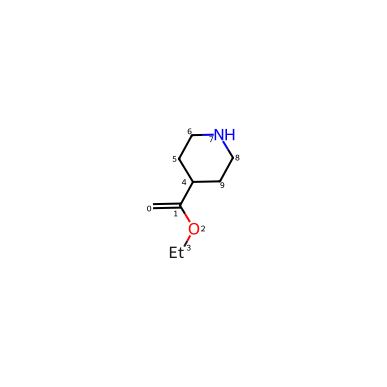 C=C(OCC)C1CCNCC1